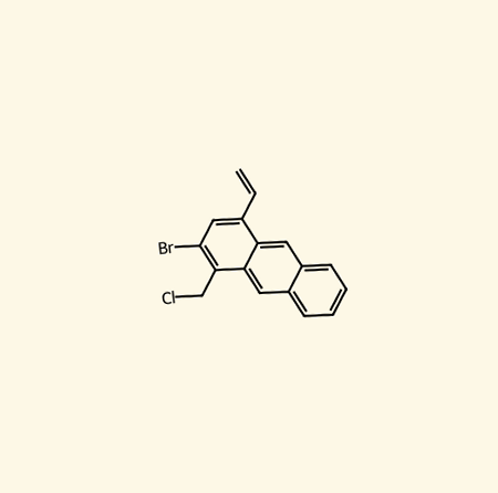 C=Cc1cc(Br)c(CCl)c2cc3ccccc3cc12